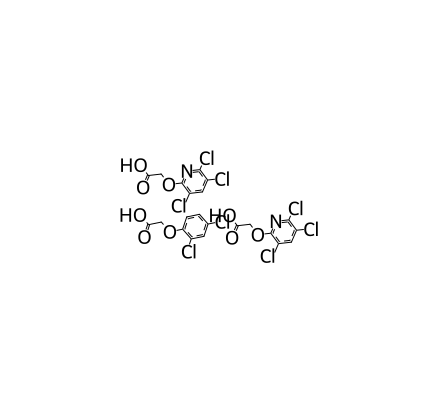 O=C(O)COc1ccc(Cl)cc1Cl.O=C(O)COc1nc(Cl)c(Cl)cc1Cl.O=C(O)COc1nc(Cl)c(Cl)cc1Cl